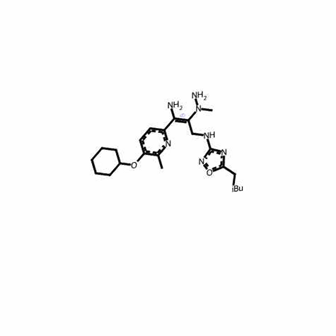 CCC(C)Cc1nc(NC/C(=C(/N)c2ccc(OC3CCCCC3)c(C)n2)N(C)N)no1